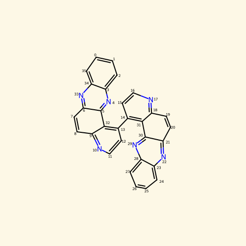 c1ccc2nc3c(ccc4nccc(-c5ccnc6ccc7nc8ccccc8nc7c56)c43)nc2c1